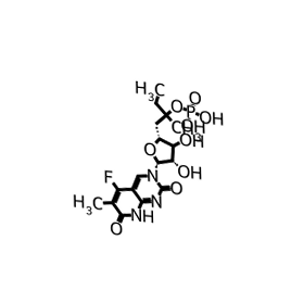 CCC(C)(C[C@H]1O[C@@H](n2cc3c(F)c(C)c(=O)[nH]c3nc2=O)[C@@H](O)C1O)OP(=O)(O)O